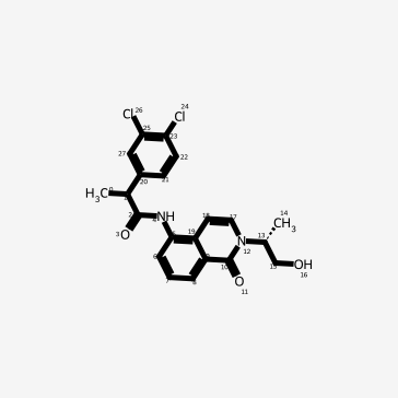 CC(C(=O)Nc1cccc2c(=O)n([C@H](C)CO)ccc12)c1ccc(Cl)c(Cl)c1